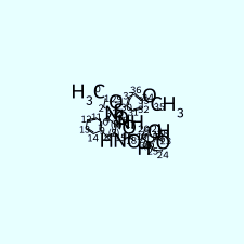 CCCN(C[C@@H](N)[C@H](Cc1ccccc1)NC(=O)O[C@H]1CO[C@H]2OCC[C@H]21)S(=O)(=O)c1ccc(OC)cc1